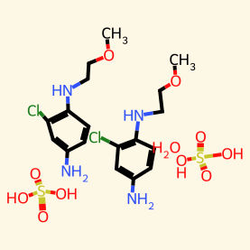 COCCNc1ccc(N)cc1Cl.COCCNc1ccc(N)cc1Cl.O.O=S(=O)(O)O.O=S(=O)(O)O